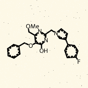 COCc1nc(Cn2ccc(-c3ccc(F)cc3)c2)nc(O)c1OCc1ccccc1